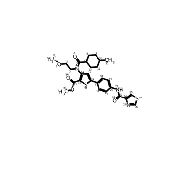 COCCN(C(=O)C1CCC(C)CC1)c1cc(-c2ccc(NC(=O)c3cscn3)cc2)sc1C(=O)OC